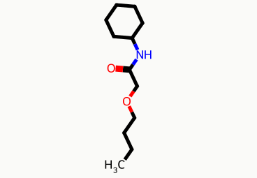 CCCCOCC(=O)NC1CCCCC1